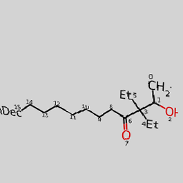 [CH2]C(O)C(CC)(CC)C(=O)CCCCCCCCCCCCCCCCC